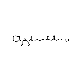 O=C(O)CCNCNCCCCCNC(=O)OC(=O)c1ccccc1